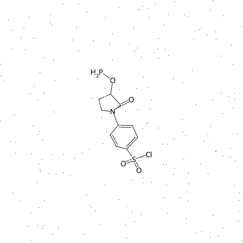 O=C1C(OP)CCN1c1ccc(S(=O)(=O)Cl)cc1